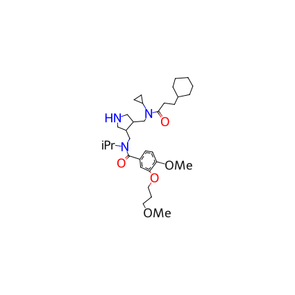 COCCCOc1cc(C(=O)N(CC2CNCC2CN(C(=O)CCC2CCCCC2)C2CC2)C(C)C)ccc1OC